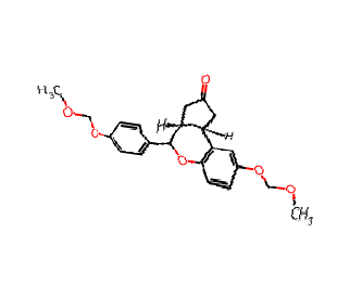 COCOc1ccc(C2Oc3ccc(OCOC)cc3[C@H]3CC(=O)C[C@@H]23)cc1